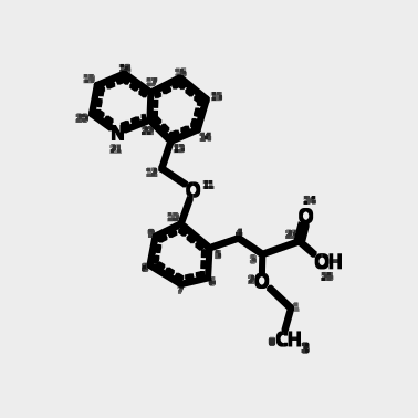 CCOC(Cc1ccccc1OCc1cccc2cccnc12)C(=O)O